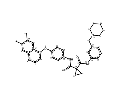 Cc1cc2nccc(Oc3ccc(NC(=O)C4(C(=O)Nc5cccc(CN6CCCCC6)c5)CC4)cc3)c2cc1C